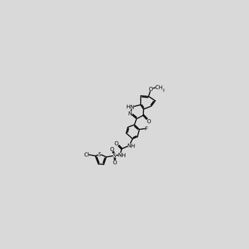 COc1ccc2c(=O)c(-c3ccc(NC(=O)NS(=O)(=O)c4ccc(Cl)s4)cc3F)n[nH]c2c1